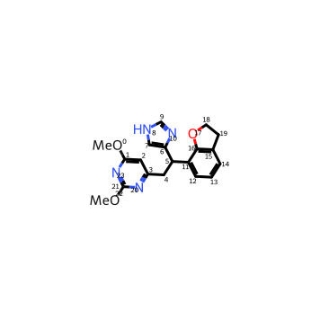 COc1cc(CC(c2c[nH]cn2)c2cccc3c2OCC3)nc(OC)n1